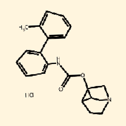 Cc1ccccc1-c1ccccc1NC(=O)OC1CN2CCC1CC2.Cl